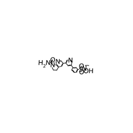 CCN(O)S(=O)(=O)c1cccc(-c2cncc(-c3cnc4c(c3)CCCN4C(N)=O)c2)c1